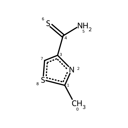 Cc1nc(C(N)=S)cs1